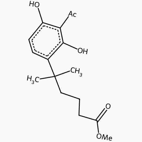 COC(=O)CCCC(C)(C)c1ccc(O)c(C(C)=O)c1O